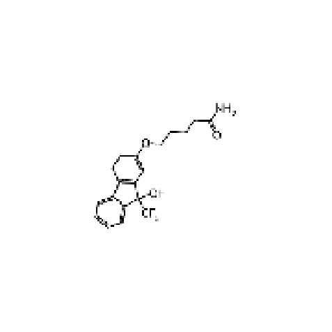 NC(=O)CCCCOC1=CC2=C(CC1)c1ccccc1C2(O)C(F)(F)F